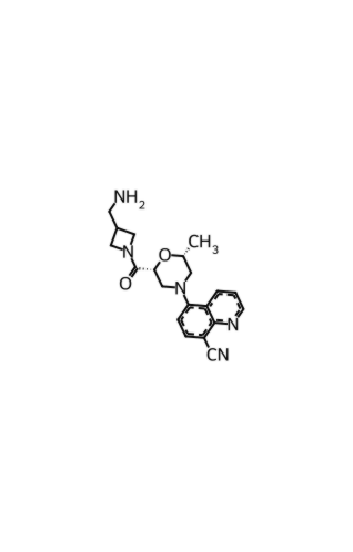 C[C@@H]1CN(c2ccc(C#N)c3ncccc23)C[C@H](C(=O)N2CC(CN)C2)O1